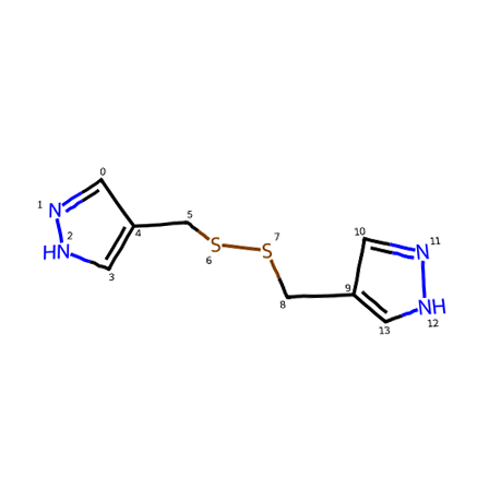 c1n[nH]cc1CSSCc1cn[nH]c1